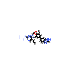 C=CCc1c(C)nc(N)nc1N1CCOc2c(C)cc(-c3ccc4nc(C)[nH]c4c3)cc2C1